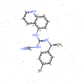 [3H]c1ccc([C@H](C)N=C(NC#N)Nc2cccc3ncccc23)cc1